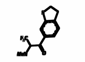 CNC(C(=O)c1ccc2c(c1)SCC2)C(F)(F)F